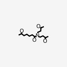 CC(=O)CCCCC(=O)N(CCC(C)=O)CCC(C)=O